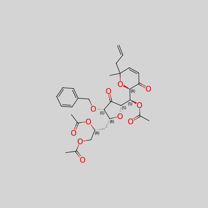 C=CCC1(C)C=CC(=O)[C@@H]([C@@H](OC(C)=O)[C@@H]2O[C@H](C[C@H](COC(C)=O)OC(C)=O)[C@H](OCc3ccccc3)C2=O)O1